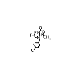 Cn1oc(=O)nc1N(Cc1ccc(Cl)nc1)CC(F)F